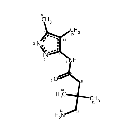 Cc1n[nH]c(NC(=O)CC(C)(C)CN)c1C